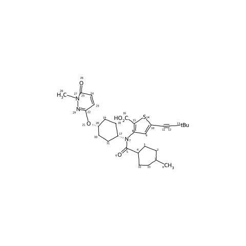 CC1CCC(C(=O)N(c2cc(C#CC(C)(C)C)sc2C(=O)O)[C@H]2CC[C@@H](Oc3ccc(=O)n(C)n3)CC2)CC1